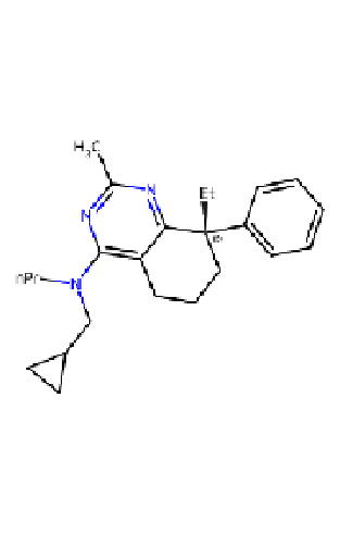 CCCN(CC1CC1)c1nc(C)nc2c1CCC[C@@]2(CC)c1ccccc1